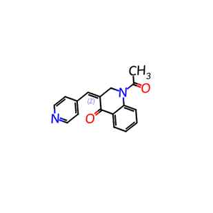 CC(=O)N1C/C(=C/c2ccncc2)C(=O)c2ccccc21